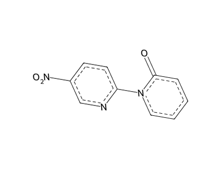 O=c1ccccn1-c1ccc([N+](=O)[O-])cn1